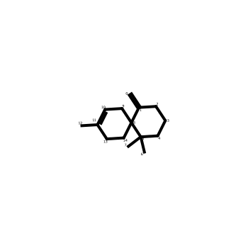 C=C1CCCC(C)(C)C12CC=C(C)CC2